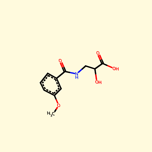 COc1cccc(C(=O)NCC(O)C(=O)O)c1